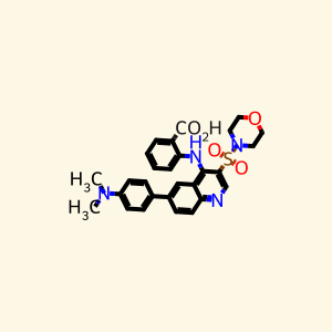 CN(C)c1ccc(-c2ccc3ncc(S(=O)(=O)N4CCOCC4)c(Nc4ccccc4C(=O)O)c3c2)cc1